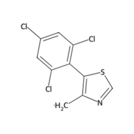 [CH2]c1ncsc1-c1c(Cl)cc(Cl)cc1Cl